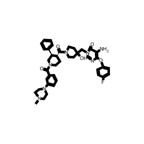 CN1CCN(c2cccc(C(=O)N3CC[C@@H](C(=O)N4CCC(O)(Cn5cnc(Oc6ccc(F)cc6)c(N)c5=O)CC4)[C@H](c4ccccc4)C3)c2)CC1